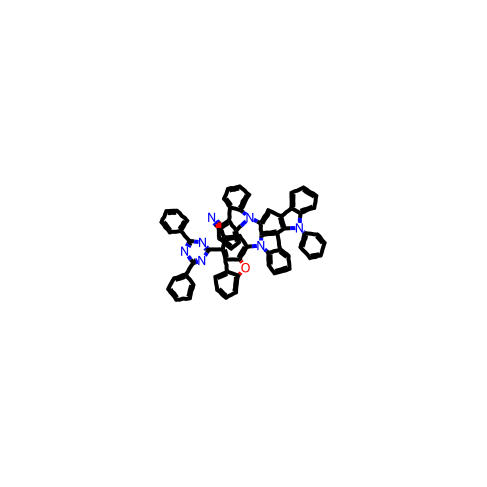 N#Cc1cc(-n2c3ccccc3c3c2c(-n2c4ccccc4c4ccccc42)cc2c4ccccc4n(-c4ccccc4)c23)c2oc3ccccc3c2c1-c1nc(-c2ccccc2)nc(-c2ccccc2)n1